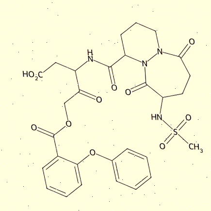 CS(=O)(=O)NC1CCC(=O)N2CCCC(C(=O)NC(CC(=O)O)C(=O)COC(=O)c3ccccc3Oc3ccccc3)N2C1=O